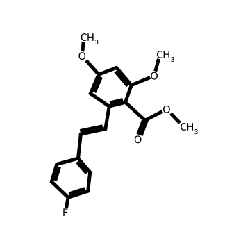 COC(=O)c1c(/C=C/c2ccc(F)cc2)cc(OC)cc1OC